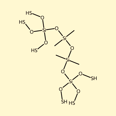 C[Si](C)(O[Si](C)(C)O[Si](OS)(OS)OS)O[Si](OS)(OS)OS